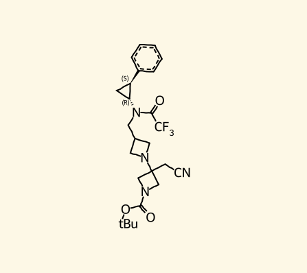 CC(C)(C)OC(=O)N1CC(CC#N)(N2CC(CN(C(=O)C(F)(F)F)[C@@H]3C[C@H]3c3ccccc3)C2)C1